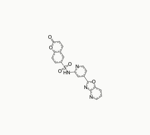 O=c1ccc2cc(S(=O)(=O)Nc3cc(-c4nc5ncccc5o4)ccn3)ccc2o1